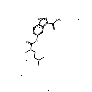 CN(C)CCN(C)C(=O)Nc1ccc2[nH]nc(C(N)=O)c2c1